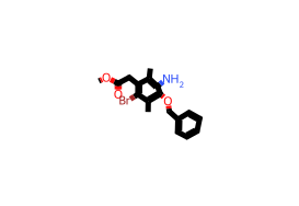 COC(=O)Cc1c(C)c(N)c(OCc2ccccc2)c(C)c1Br